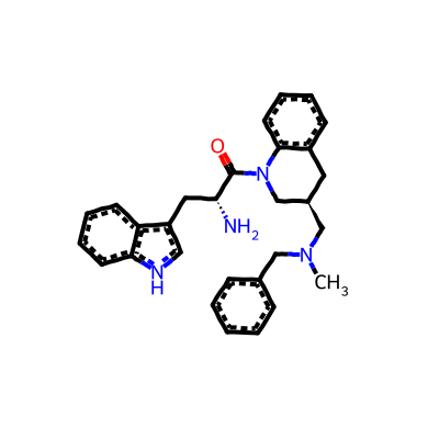 CN(Cc1ccccc1)C[C@@H]1Cc2ccccc2N(C(=O)[C@H](N)Cc2c[nH]c3ccccc23)C1